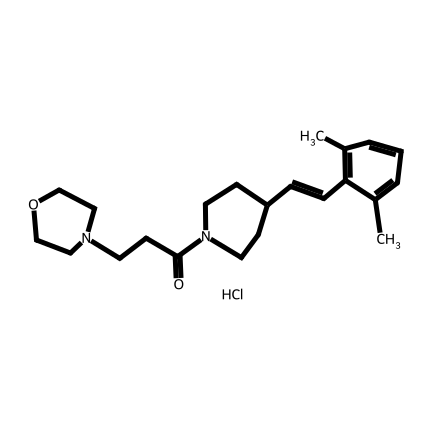 Cc1cccc(C)c1C=CC1CCN(C(=O)CCN2CCOCC2)CC1.Cl